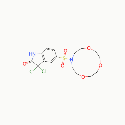 O=C1Nc2ccc(S(=O)(=O)N3CCOCCOCCOCC3)cc2C1(Cl)Cl